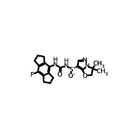 CC1(C)COc2c([S+]([O-])NC(=O)Nc3c4c(c(F)c5c3CCC5)CCC4)cnn21